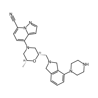 C[C@@H]1CN(c2ccc(C#N)n3nccc23)C[C@H](CN2Cc3cccc(N4CCNCC4)c3C2)O1